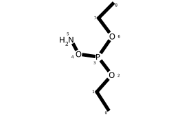 CCOP(ON)OCC